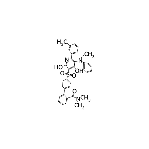 CCN(c1ccccc1)c1c(-c2cccc(C)c2)nc(O)c(S(=O)(=O)c2ccc(-c3ccccc3C(=O)N(C)C)cc2)c1O